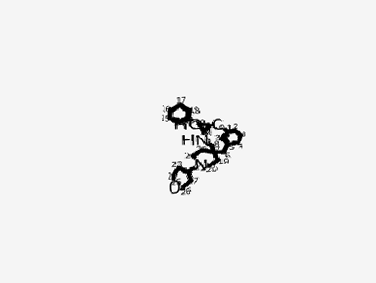 O=C(O)c1cccc(CC2(CN[C@@H]3C[C@H]3c3ccccc3)CCN(C3CCOCC3)CC2)c1